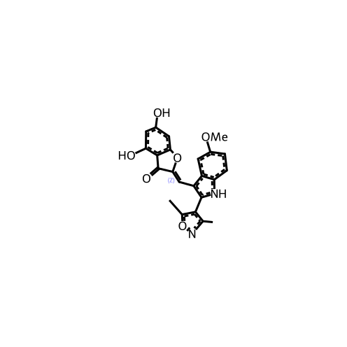 COc1ccc2[nH]c(-c3c(C)noc3C)c(/C=C3\Oc4cc(O)cc(O)c4C3=O)c2c1